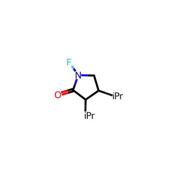 CC(C)C1CN(F)C(=O)C1C(C)C